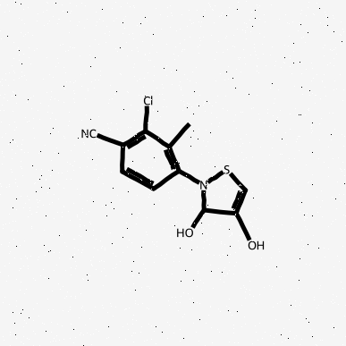 Cc1c(N2SC=C(O)C2O)ccc(C#N)c1Cl